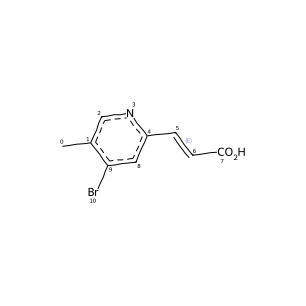 Cc1cnc(/C=C/C(=O)O)cc1Br